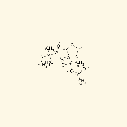 CCC(C)(C)C(=O)OC1(C(C)(C)OC(C)=O)CCCC1